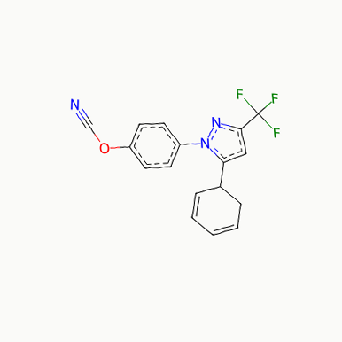 N#COc1ccc(-n2nc(C(F)(F)F)cc2C2C=CC=CC2)cc1